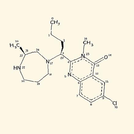 CCC[C@@H](c1nc2ccc(Cl)cc2c(=O)n1C)N1CCCN[C@@H](C)C1